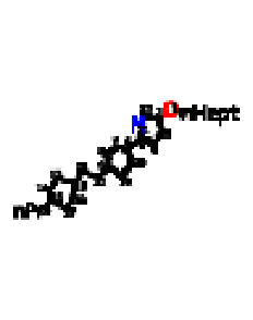 CCCCCCCOc1ccc(-c2ccc(CCC3CCC(CCC)CC3)cc2)nc1